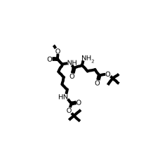 COC(=O)C(CCCCNC(=O)OC(C)(C)C)NC(=O)C(N)CCC(=O)OC(C)(C)C